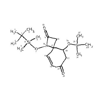 CC(C)(C)[Si](C)(C)ON1C(=O)CC12C=CC(=O)CC2O[Si](C)(C)C